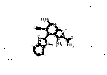 Cn1c(-c2c(C#N)c(N)nc3sc(C(N)=O)c(N)c23)nc2ccccc21